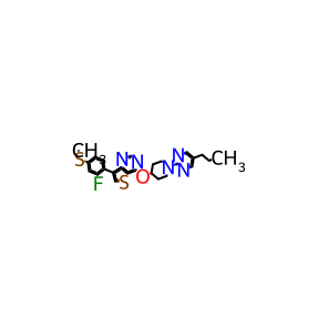 CCCc1cnc(N2CCC(Oc3ncnc4c(-c5ccc(SC)cc5F)csc34)CC2)nc1